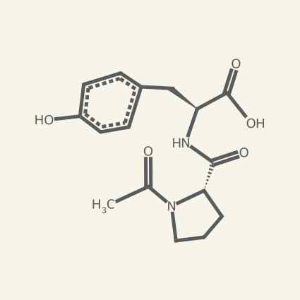 CC(=O)N1CCC[C@H]1C(=O)N[C@@H](Cc1ccc(O)cc1)C(=O)O